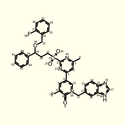 Cc1cc(-c2cc(F)c(=O)n(Cc3ccc4nc[nH]c4c3)c2)nc(S(=O)(=O)CCC(OCc2ccccc2F)c2ccccc2)n1